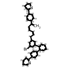 C=C(/C=C\C=C/Cc1cc(Br)cc(-c2ccccc2-c2ccc(-c3ccccn3)cc2)c1)c1ccc(-c2ccccn2)cc1